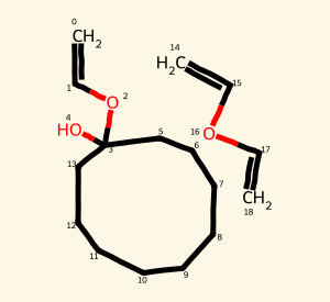 C=COC1(O)CCCCCCCCC1.C=COC=C